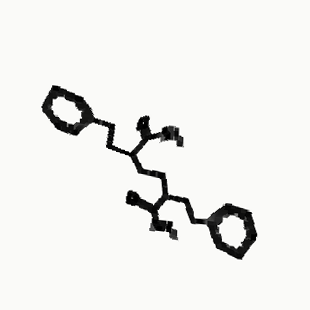 NC(=O)C(CCc1ccccc1)CCC(CCc1ccccc1)C(N)=O